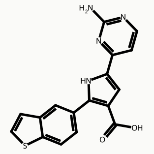 Nc1nccc(-c2cc(C(=O)O)c(-c3ccc4sccc4c3)[nH]2)n1